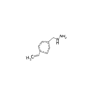 C=Cc1ccc(CNN)cc1